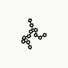 c1ccc(-c2ccc(-n3c4ccc(-c5ccc6c(c5)c5ccccc5n6-c5ccc(-c6ccccc6)cc5-c5ccccc5)cc4c4c(-c5cccc(-c6cccc(-c7ccccc7)c6)c5)cccc43)cc2)cc1